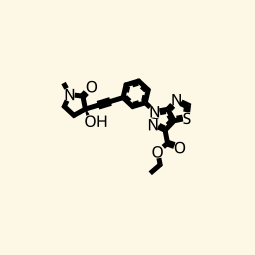 CCOC(=O)c1nn(-c2cccc(C#C[C@]3(O)CCN(C)C3=O)c2)c2ncsc12